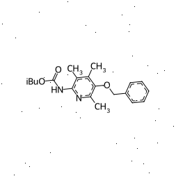 Cc1nc(NC(=O)OCC(C)C)c(C)c(C)c1OCc1ccccc1